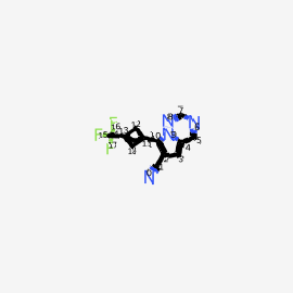 N#Cc1cc2cncnn2c1C12CC(C(F)(F)F)(C1)C2